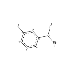 [CH2]CC(F)c1cccc(C)c1